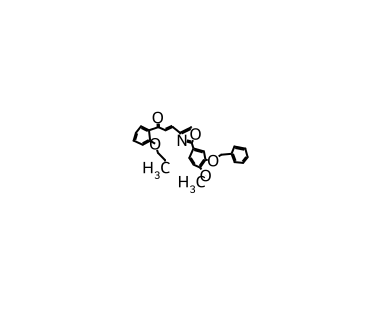 CCCOc1ccccc1C(=O)C=Cc1coc(-c2ccc(OC)c(OCc3ccccc3)c2)n1